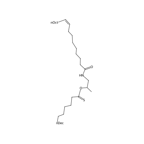 CCCCCCCC/C=C\CCCCCCCC(=O)NCC(C)OC(=S)CCCCCCCCCCCCCCC